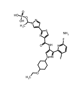 CCOC1CCC(n2cc(NC(=O)c3csc(-c4cnn(C(C)OP(=O)(O)O)c4)n3)c(-c3nc(F)ccc3F)n2)CC1.N